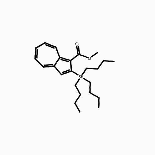 CCC[CH2][Sn]([CH2]CCC)([CH2]CCC)[c]1cc2cccccc-2c1C(=O)OC